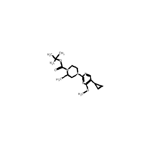 COc1nc(N2CCN(C(=O)OC(C)(C)C)C(C)C2)ncc1C1CC1